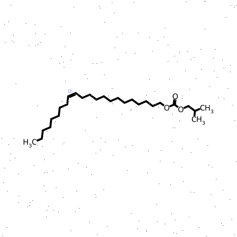 CCCCCCCC/C=C\CCCCCCCCCCCCOC(=O)OCC(C)C